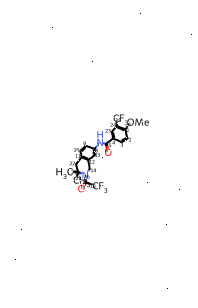 COc1ccc(C(=O)Nc2ccc3c(c2)CN(C(=O)C(F)(F)F)C(C)(C)C3)cc1C(F)(F)F